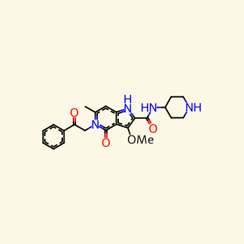 COc1c(C(=O)NC2CCNCC2)[nH]c2cc(C)n(CC(=O)c3ccccc3)c(=O)c12